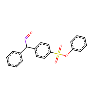 O=IC(c1ccccc1)c1ccc(S(=O)(=O)Oc2ccccc2)cc1